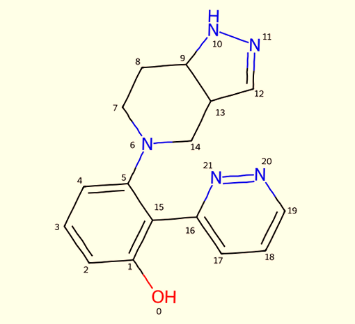 Oc1cccc(N2CCC3NN=CC3C2)c1-c1cccnn1